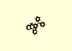 CC1(C)c2cccnc2-n2c3cccnc3c3cc(N(c4ccccc4)c4ccccc4)cc1c32